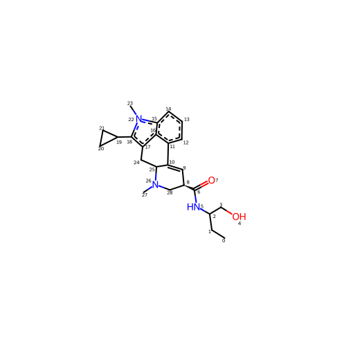 CCC(CO)NC(=O)[C@@H]1C=C2c3cccc4c3c(c(C3CC3)n4C)CC2N(C)C1